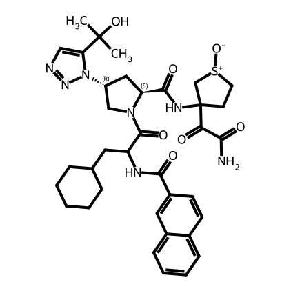 CC(C)(O)c1cnnn1[C@@H]1C[C@@H](C(=O)NC2(C(=O)C(N)=O)CC[S+]([O-])C2)N(C(=O)C(CC2CCCCC2)NC(=O)c2ccc3ccccc3c2)C1